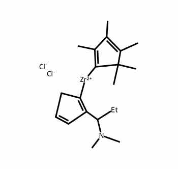 CCC(C1=[C]([Zr+2][C]2=C(C)C(C)=C(C)C2(C)C)CC=C1)N(C)C.[Cl-].[Cl-]